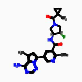 COc1ncc(-c2cc(C(F)(F)F)c3c(N)ncnn23)cc1C(=O)N[C@@H]1CN(C(=O)C2(C(F)(F)F)CC2)C[C@@H]1F